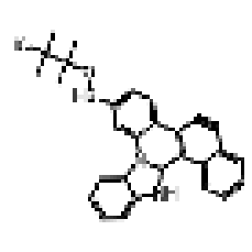 CC(C)(O)C(C)(C)OBc1ccc2c(c1)N1c3ccccc3NC1c1c-2c#cc2ccccc12